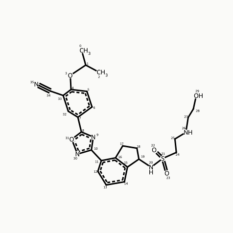 CC(C)Oc1ccc(-c2nc(-c3cccc4c3CCC4NS(=O)(=O)CCNCCO)no2)cc1C#N